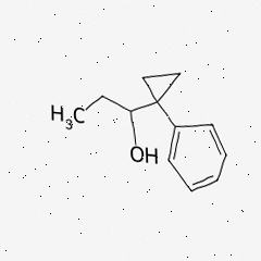 CCC(O)C1(c2ccccc2)CC1